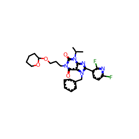 CC(C)n1c(=O)n(CCCOC2CCCCO2)c(=O)c2c1nc(-c1ccc(F)nc1F)n2Cc1ccccc1